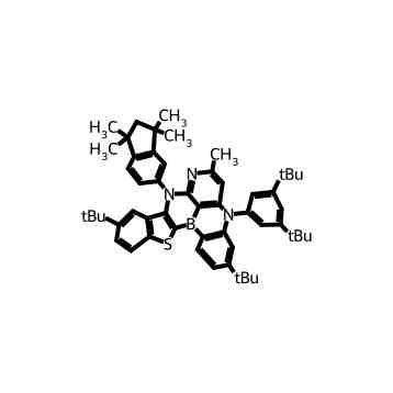 Cc1cc2c3c(n1)N(c1ccc4c(c1)C(C)(C)CC4(C)C)c1c(sc4ccc(C(C)(C)C)cc14)B3c1ccc(C(C)(C)C)cc1N2c1cc(C(C)(C)C)cc(C(C)(C)C)c1